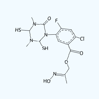 CC(COC(=O)c1cc(N2C(=O)N(C)C(S)N(C)C2S)c(F)cc1Cl)=NO